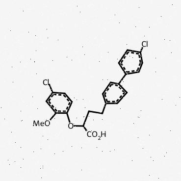 COc1cc(Cl)ccc1OC(CCc1ccc(-c2ccc(Cl)cc2)cc1)C(=O)O